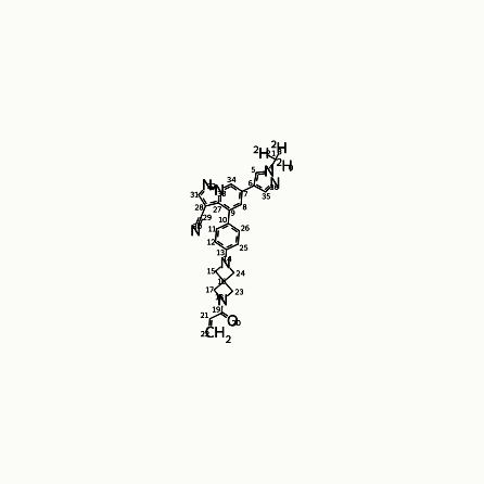 [2H]C([2H])([2H])n1cc(-c2cc(-c3ccc(N4CC5(CN(C(=O)C=C)C5)C4)cc3)c3c(C#N)cnn3c2)cn1